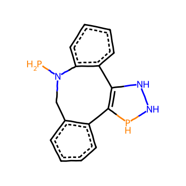 PN1Cc2ccccc2C2=C(NNP2)c2ccccc21